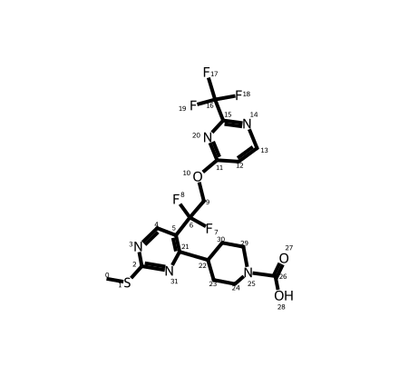 CSc1ncc(C(F)(F)COc2ccnc(C(F)(F)F)n2)c(C2CCN(C(=O)O)CC2)n1